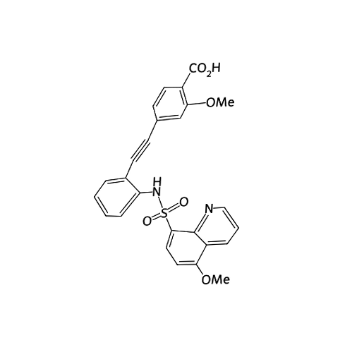 COc1cc(C#Cc2ccccc2NS(=O)(=O)c2ccc(OC)c3cccnc23)ccc1C(=O)O